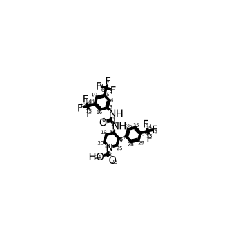 O=C(Nc1cc(C(F)(F)F)cc(C(F)(F)F)c1)N[C@@H]1CCN(C(=O)O)C[C@H]1c1ccc(C(F)(F)F)cc1